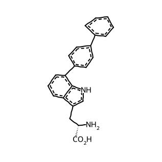 N[C@@H](Cc1c[nH]c2c(-c3ccc(-c4ccccc4)cc3)cccc12)C(=O)O